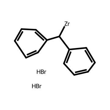 Br.Br.[Zr][CH](c1ccccc1)c1ccccc1